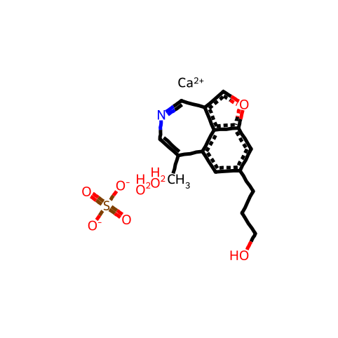 CC1=CN=Cc2coc3cc(CCCO)cc1c23.O.O.O=S(=O)([O-])[O-].[Ca+2]